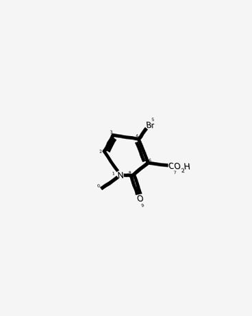 Cn1ccc(Br)c(C(=O)O)c1=O